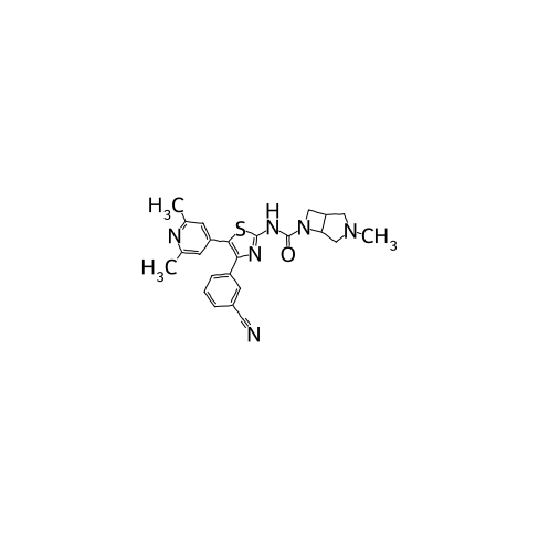 Cc1cc(-c2sc(NC(=O)N3CC4CN(C)CC43)nc2-c2cccc(C#N)c2)cc(C)n1